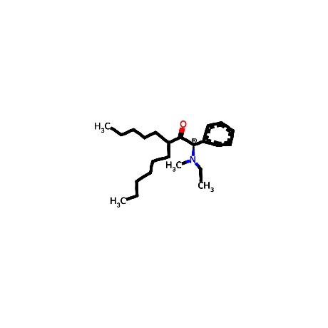 CCCCCCC(CCCCC)C(=O)[C@@H](c1ccccc1)N(C)CC